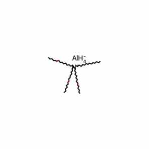 CCCCCCCCCCCCCCC[N+](CCCCCCCCCCCCCCC)(CCCCCCCCCCCCCCC)CCCCCCCCCCCCCCC.[AlH4-]